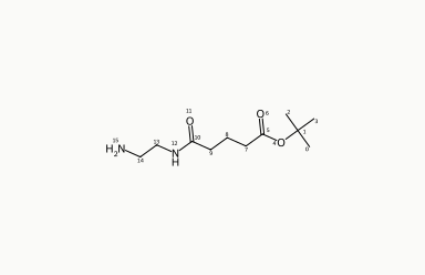 CC(C)(C)OC(=O)CCCC(=O)NCCN